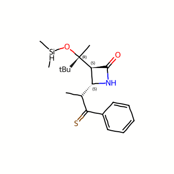 CC(C(=S)c1ccccc1)[C@H]1NC(=O)[C@@H]1[C@@](C)(O[SiH](C)C)C(C)(C)C